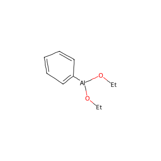 CC[O][Al]([O]CC)[c]1ccccc1